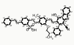 CCCOc1cc(N=Nc2ccc(N=Nc3ccccc3)cc2S(=O)(=O)O)c(C)cc1N=Nc1c(-c2ccccc2)c(C#N)c2nc3ccccc3n2c1O